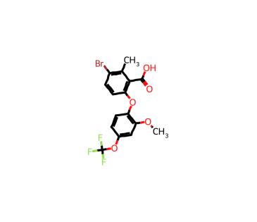 COc1cc(OC(F)(F)F)ccc1Oc1ccc(Br)c(C)c1C(=O)O